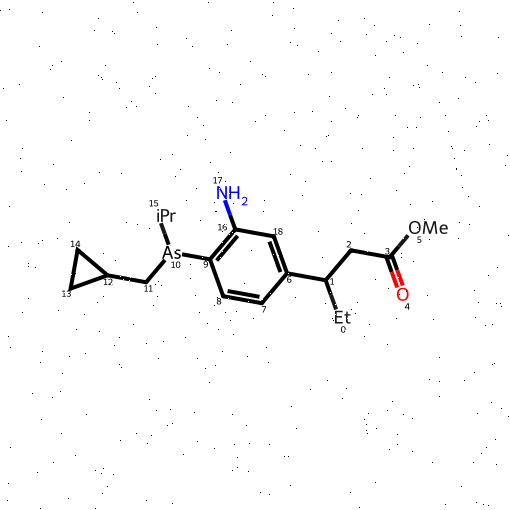 CCC(CC(=O)OC)c1ccc([As](CC2CC2)C(C)C)c(N)c1